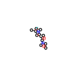 Fc1cc(-c2ccccc2)cc(-c2ccccc2)c1N(c1ccc2cc3c4c(cccc4c2c1)Oc1cc(N(c2ccccc2)c2cccc4c2oc2ccccc24)ccc1-3)c1ccccc1-c1ccccc1